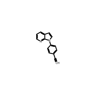 C#Cc1ccc(-n2ccc3cccnc32)cc1